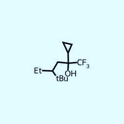 CCC(CC(O)(C1CC1)C(F)(F)F)C(C)(C)C